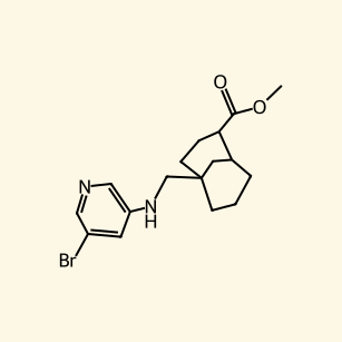 COC(=O)C1CCC2(CNc3cncc(Br)c3)CCCC1C2